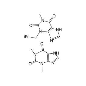 CC(C)Cn1c(=O)n(C)c(=O)c2[nH]cnc21.Cn1c(=O)c2[nH]cnc2n(C)c1=O